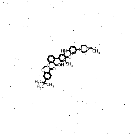 CCN1CCN(c2ccc(Nc3cc(-c4cccc(N5COc6cc(C(C)(C)C)ccc6C5=O)c4CO)cn(C)c3=O)nc2)CC1